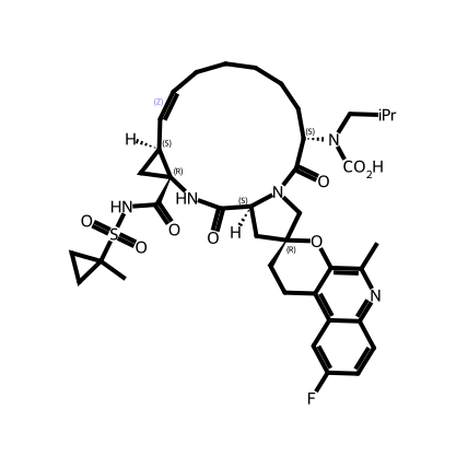 Cc1nc2ccc(F)cc2c2c1O[C@]1(CC2)C[C@H]2C(=O)N[C@]3(C(=O)NS(=O)(=O)C4(C)CC4)C[C@H]3/C=C\CCCCC[C@H](N(CC(C)C)C(=O)O)C(=O)N2C1